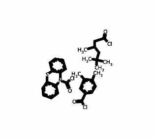 CC(CC(=O)Cl)CC(C)(C)C.Cc1ccc(C(=O)Cl)cc1C.O=C(Cl)N1c2ccccc2Sc2ccccc21